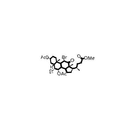 CC[C@H]1[C@@H](OC(C)=O)C2C3CC[C@H]([C@H](C)CCC(=O)OC)[C@@]3(C)C(=O)[C@@H](Br)C2[C@@]2(C)CC[C@@H](OC(C)=O)C[C@@H]12